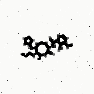 CCCO[C@H]1[C@H](C)OC(=O)[C@@H](NC(=O)c2nccc(OC)c2O)CCC[C@@H]1OC1CCCC1